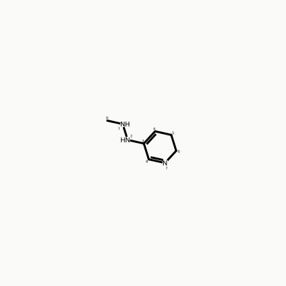 CNNC1=CCCN=C1